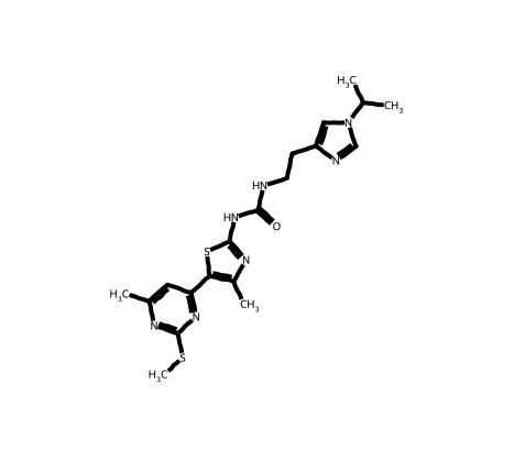 CSc1nc(C)cc(-c2sc(NC(=O)NCCc3cn(C(C)C)cn3)nc2C)n1